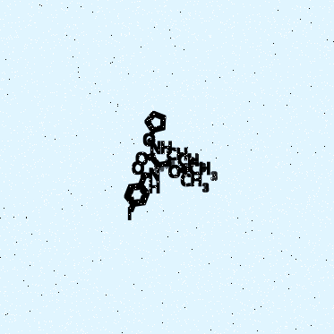 C[C@@H](OC(C)(C)C)[C@H](NC(=O)c1ccc(I)cc1)C(=O)NOC1CCCC1